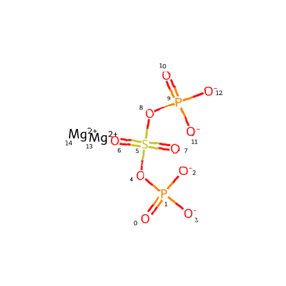 O=P([O-])([O-])OS(=O)(=O)OP(=O)([O-])[O-].[Mg+2].[Mg+2]